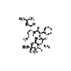 CC(C)NC(=O)C1CC(N)CN1C(=O)C(NC(=O)[C@H](C)N(C)C(=O)OC(C)(C)C)C1CCCCC1